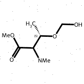 CNC(C(=O)OC)[C@H](C)OCO